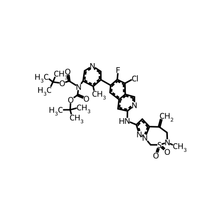 C=C1CN(C)S(=O)(=O)Cn2nc(Nc3cc4cc(-c5cncc(N(C(=O)OC(C)(C)C)C(=O)OC(C)(C)C)c5C)c(F)c(Cl)c4cn3)cc21